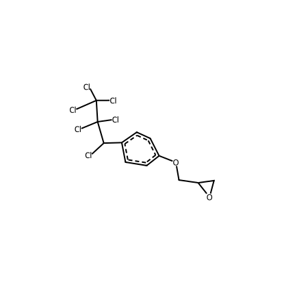 ClC(c1ccc(OCC2CO2)cc1)C(Cl)(Cl)C(Cl)(Cl)Cl